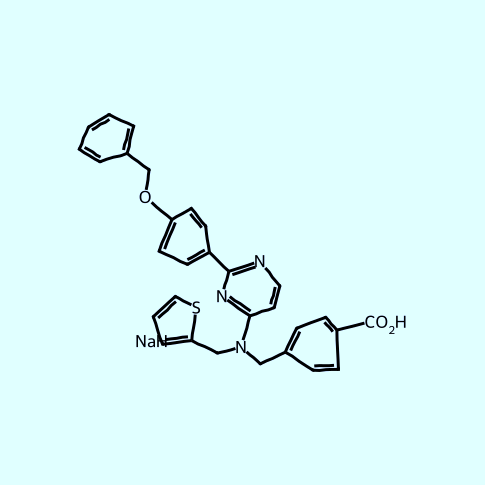 O=C(O)c1ccc(CN(Cc2cccs2)c2ccnc(-c3ccc(OCc4ccccc4)cc3)n2)cc1.[NaH]